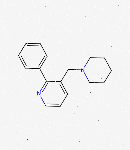 c1ccc(-c2ncccc2CN2CCCCC2)cc1